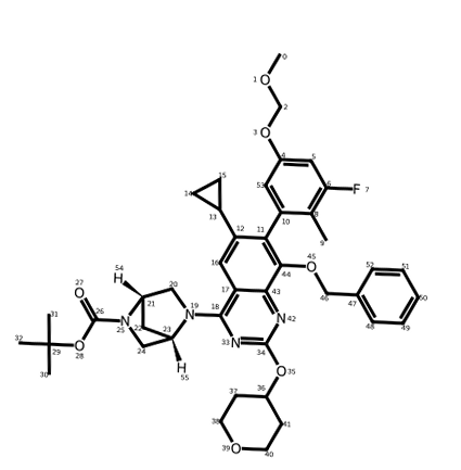 COCOc1cc(F)c(C)c(-c2c(C3CC3)cc3c(N4C[C@@H]5C[C@H]4CN5C(=O)OC(C)(C)C)nc(OC4CCOCC4)nc3c2OCc2ccccc2)c1